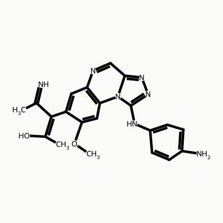 COc1cc2c(cc1/C(C(C)=N)=C(\C)O)ncc1nnc(Nc3ccc(N)cc3)n12